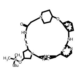 CC(C)(C)[Si](C)(C)OC1CC2CCNC(=O)CN3CCC(CC3)Oc3cccc(c3F)Nc3cc(ccn3)-c3cnc(nc3)N2C1